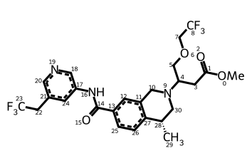 COC(=O)CC(COCC(F)(F)F)N1Cc2cc(C(=O)Nc3cncc(CC(F)(F)F)c3)ccc2[C@@H](C)C1